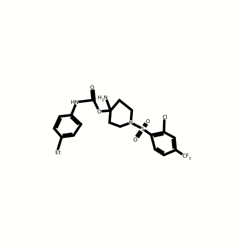 CCc1ccc(NC(=O)OC2(N)CCN(S(=O)(=O)c3ccc(C(F)(F)F)cc3Cl)CC2)cc1